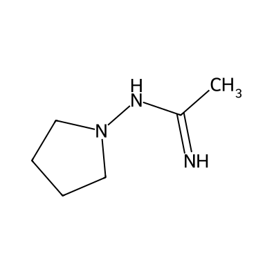 CC(=N)NN1CCCC1